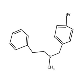 CC(C)c1ccc(CN(C)CCc2ccccc2)cc1